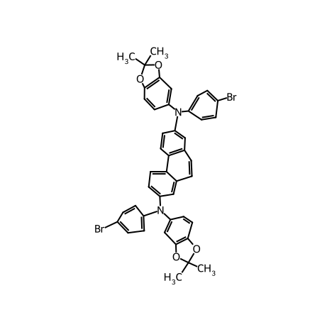 CC1(C)Oc2ccc(N(c3ccc(Br)cc3)c3ccc4c(ccc5cc(N(c6ccc(Br)cc6)c6ccc7c(c6)OC(C)(C)O7)ccc54)c3)cc2O1